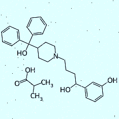 CC(C)C(=O)O.Oc1cccc(C(O)CCCN2CCC(C(O)(c3ccccc3)c3ccccc3)CC2)c1